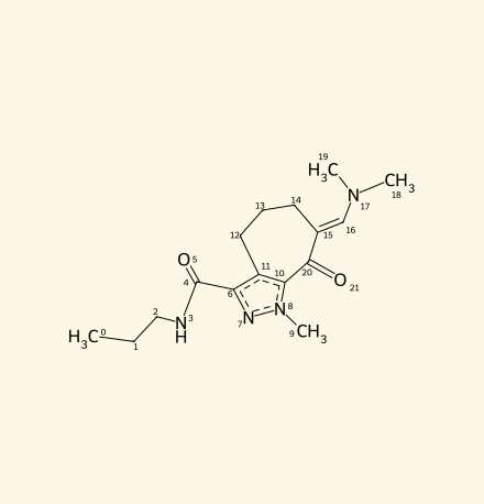 CCCNC(=O)c1nn(C)c2c1CCC/C(=C\N(C)C)C2=O